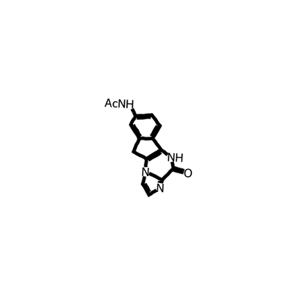 CC(=O)Nc1ccc2c(c1)Cc1c-2[nH]c(=O)c2nccn12